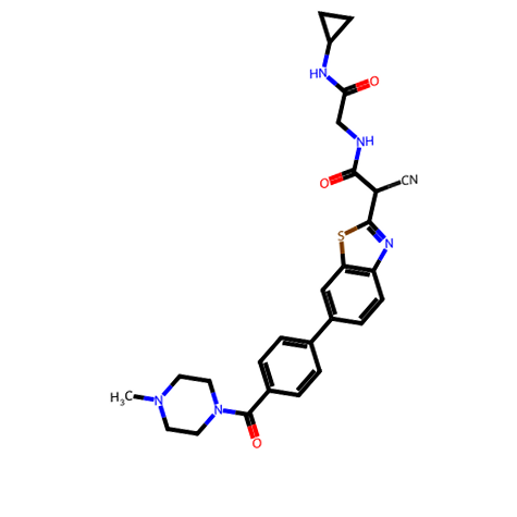 CN1CCN(C(=O)c2ccc(-c3ccc4nc(C(C#N)C(=O)NCC(=O)NC5CC5)sc4c3)cc2)CC1